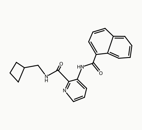 O=C(NCC1CCC1)c1ncccc1NC(=O)c1cccc2ccccc12